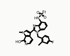 CCS(=O)(=O)Nc1cccc2c1nc(-c1cn(C)c3c(O)nccc13)n2Cc1ccc(F)cc1C